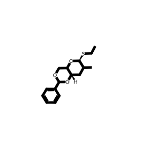 CCS[C@@H]1OC2COC(c3ccccc3)O[C@H]2CC1C